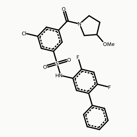 COC1CCN(C(=O)c2cc(Cl)cc(S(=O)(=O)Nc3cc(-c4ccccc4)c(F)cc3F)c2)C1